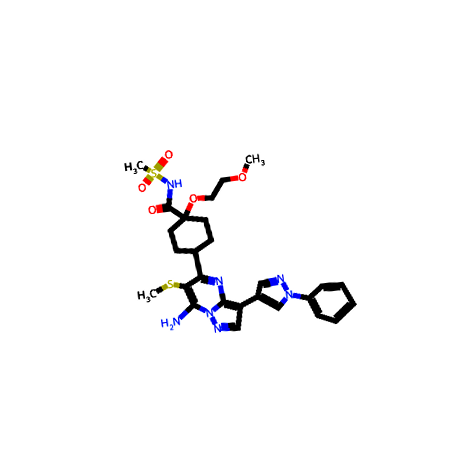 COCCOC1(C(=O)NS(C)(=O)=O)CCC(c2nc3c(-c4cnn(-c5ccccc5)c4)cnn3c(N)c2SC)CC1